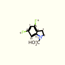 O=C(O)N1CCc2c(F)cc(F)cc21